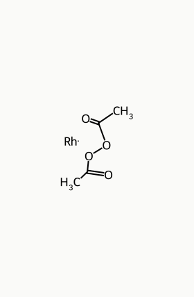 CC(=O)OOC(C)=O.[Rh]